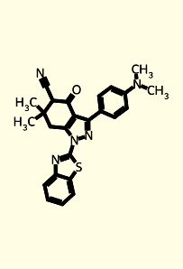 CN(C)c1ccc(-c2nn(-c3nc4ccccc4s3)c3c2C(=O)C(C#N)C(C)(C)C3)cc1